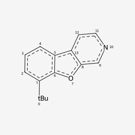 CC(C)(C)c1cccc2c1oc1cnccc12